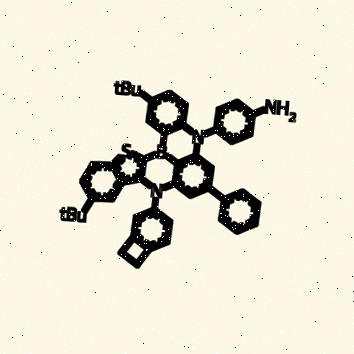 CC(C)(C)c1ccc2c(c1)B1c3sc4ccc(C(C)(C)C)cc4c3N(c3ccc4c(c3)CC4)c3cc(-c4ccccc4)cc(c31)N2c1ccc(N)cc1